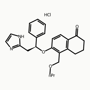 CCCOCc1c(O[C@@H](Cc2ncc[nH]2)c2ccccc2)ccc2c1CCCC2=O.Cl